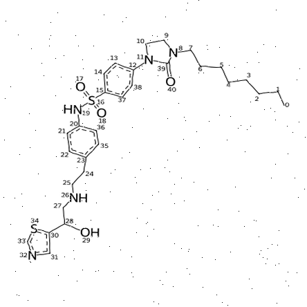 CCCCCCCCN1CCN(c2ccc(S(=O)(=O)Nc3ccc(CCNCC(O)c4cncs4)cc3)cc2)C1=O